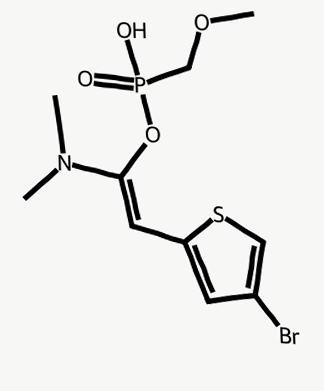 COCP(=O)(O)OC(=Cc1cc(Br)cs1)N(C)C